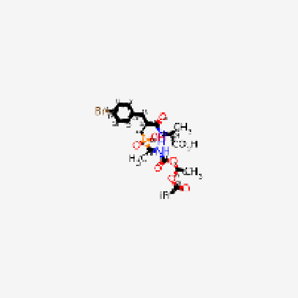 CC(OC(=O)N[C@@H](C)P(=O)(O)C[C@@H](Cc1ccc(Br)cc1)C(=O)N[C@@H](C)C(=O)O)OC(=O)C(C)C